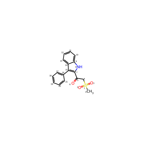 CS(=O)(=O)CC(=O)c1[nH]c2ccccc2c1-c1ccccc1